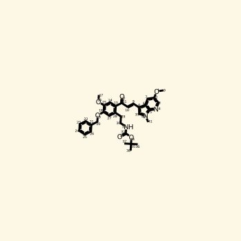 COc1cnc2c(c1)c(/C=C/C(=O)c1cc(OC)c(OCc3ccccc3)cc1CCNC(=O)OC(C)(C)C)cn2C